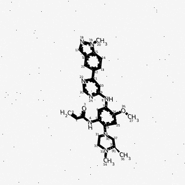 C=CC(=O)Nc1cc(Nc2cc(-c3ccc4c(cnn4C)c3)ncn2)c(OC)cc1N1CCN(C)[C@H](C)C1